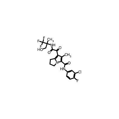 Cc1c(C(=O)C(=O)NC(C)(CO)C(F)(F)F)c2n(c1C(=O)Nc1ccc(F)c(Cl)c1)CCC2